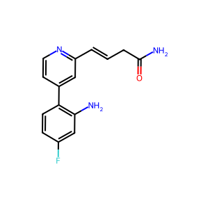 NC(=O)CC=Cc1cc(-c2ccc(F)cc2N)ccn1